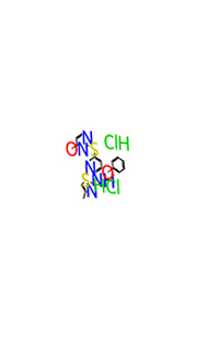 COc1ccnc(Sc2cnc(Nc3nc(C)cs3)c(Oc3ccccc3)c2)n1.Cl.Cl